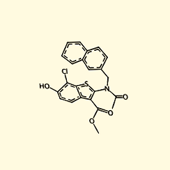 COC(=O)c1c(N(Cc2ccc3ccccc3c2)C(C)=O)sc2c(Cl)c(O)ccc12